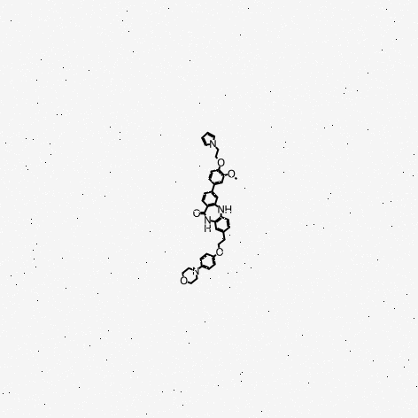 COc1cc(-c2ccc3c(c2)Nc2ccc(CCOc4ccc(N5CCOCC5)cc4)cc2NC3=O)ccc1OCCn1cccc1